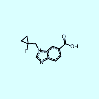 O=C(O)c1ccc2ncn(CC3(F)CC3)c2c1